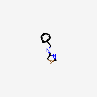 C1=NC(=NCc2ccccc2)CS1